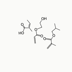 C=C(C)C(=O)OCC(C)C.C=CC(=O)OCCO.CC=C(C)C(=O)O